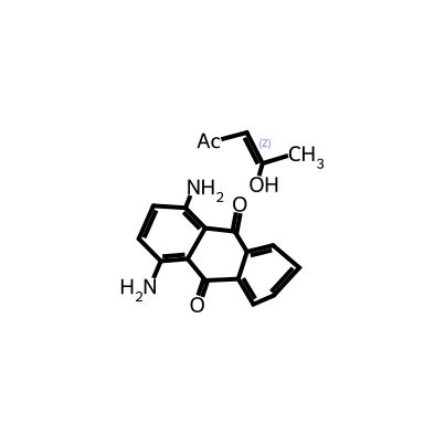 CC(=O)/C=C(/C)O.Nc1ccc(N)c2c1C(=O)c1ccccc1C2=O